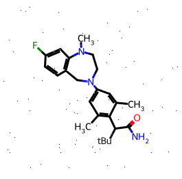 Cc1cc(N2CCN(C)c3cc(F)ccc3C2)cc(C)c1C(C(N)=O)C(C)(C)C